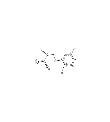 C=C(CCc1cc(C)ccc1C)C(=O)O